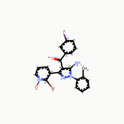 Cc1ccccc1-n1nc(-c2ccc[n+]([O-])c2Br)c(C(=O)c2cccc(I)c2)c1N